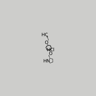 C#CCOc1ccc(OC[C@H]2CCCN2)cc1.Cl